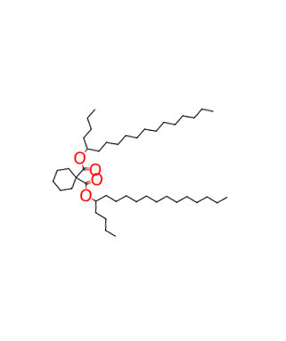 CCCCCCCCCCCCCC(CCCC)OC(=O)C1(C(=O)OC(CCCC)CCCCCCCCCCCCC)CCCCC1